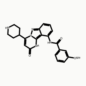 COc1cccc(C(=O)Nc2cccc3nn4c(C5CCNCC5)cc(=O)[nH]c4c23)c1